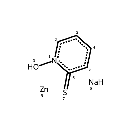 On1ccccc1=S.[NaH].[Zn]